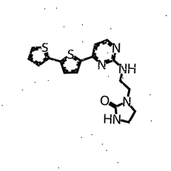 O=C1NCCN1CCNc1nccc(-c2ccc(-c3cccs3)s2)n1